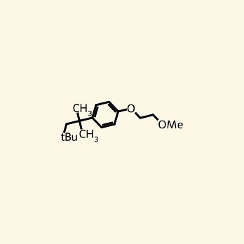 [CH2]OCCOc1ccc(C(C)(C)CC(C)(C)C)cc1